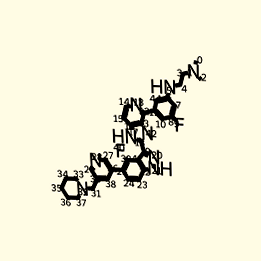 CN(C)CCNc1cc(F)cc(-c2nccc3[nH]c(-c4n[nH]c5ccc(-c6cncc(CN7CCCCC7)c6)c(F)c45)nc23)c1